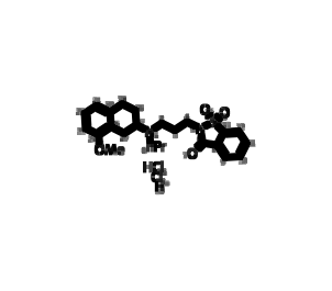 CCCN(CCCN1C(=O)c2ccccc2S1(=O)=O)C1CCc2cccc(OC)c2C1.Cl.[Cl-].[H+]